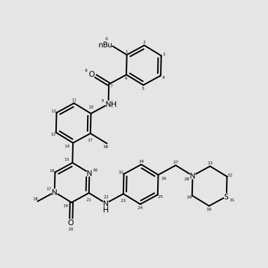 CCCCc1ccccc1C(=O)Nc1cccc(-c2cn(C)c(=O)c(Nc3ccc(CN4CCSCC4)cc3)n2)c1C